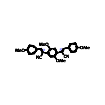 COc1ccc(/C=C(\C#N)c2cc(OC)c(/C(C#N)=C/c3ccc(OC)cc3)cc2OC)cc1